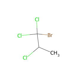 CC(Cl)C(Cl)(Cl)Br